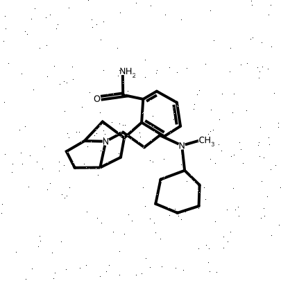 CN(CCCN1C2CCC1CC(c1ccccc1C(N)=O)C2)C1CCCCC1